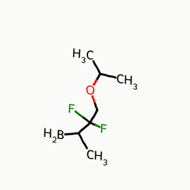 BC(C)C(F)(F)COC(C)C